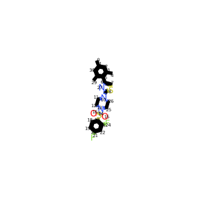 Cc1cc(C)c(-c2csc(N3CCN(S(=O)(=O)c4ccc(F)cc4F)CC3)n2)c(C)c1